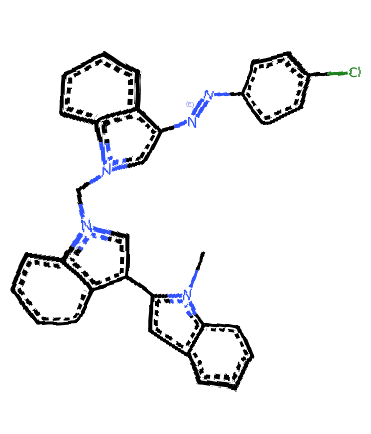 Cn1c(-c2cn(Cn3cc(/N=N/c4ccc(Cl)cc4)c4ccccc43)c3ccccc23)cc2ccccc21